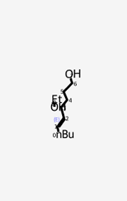 CCCC/C=C/CCCCO.CCO